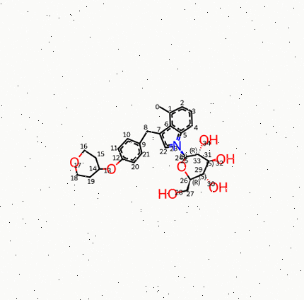 Cc1cccc2c1c(Cc1ccc(OC3CCOCC3)cc1)cn2[C@@H]1O[C@H](CO)[C@@H](O)[C@H](O)[C@H]1O